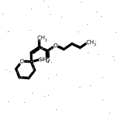 CCCCOC(=O)C(C)=CC1([SiH3])CCCCO1